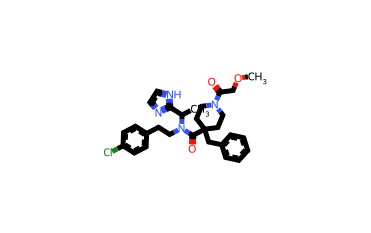 COCC(=O)N1CCC(Cc2ccccc2)(C(=O)N(CCc2ccc(Cl)cc2)C(C)c2ncc[nH]2)CC1